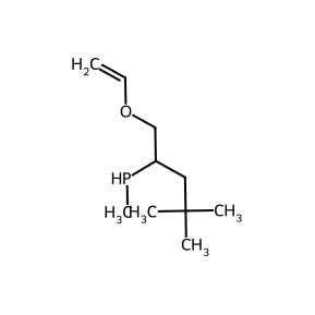 C=COCC(CC(C)(C)C)PC